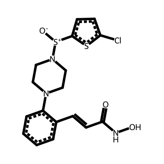 O=C(/C=C/c1ccccc1N1CCN([S+]([O-])c2ccc(Cl)s2)CC1)NO